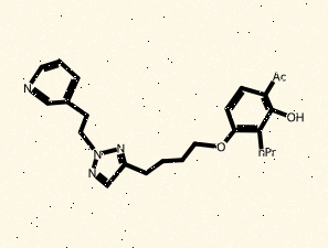 CCCc1c(OCCCCc2cnn(CCc3cccnc3)n2)ccc(C(C)=O)c1O